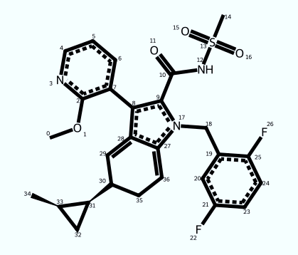 COc1ncccc1-c1c(C(=O)NS(C)(=O)=O)n(Cc2cc(F)ccc2F)c2c1=CC([C@H]1C[C@H]1C)CC=2